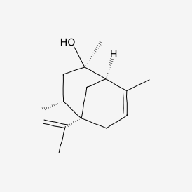 C=C(C)[C@@]12CC=C(C)[C@@H](C1)[C@](C)(O)C[C@H]2C